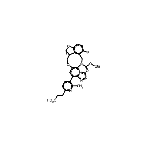 Cc1nc(CCC(=O)O)ccc1-c1cc2c(n3cnnc13)N(C(=O)OC(C)(C)C)Cc1c(F)ccc3c1[C@@H](CO3)CO2